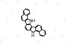 c1ccc2c(c1)ccc1c3ccc4[nH]c5c6ccccc6ccc5c4c3[nH]c21